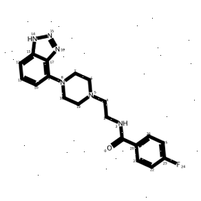 O=C(NCCN1CCN(c2cccc3[nH]nnc23)CC1)c1ccc(F)cc1